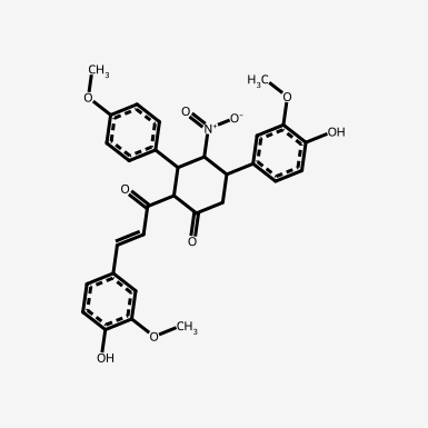 COc1ccc(C2C(C(=O)/C=C/c3ccc(O)c(OC)c3)C(=O)CC(c3ccc(O)c(OC)c3)C2[N+](=O)[O-])cc1